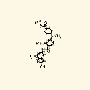 COc1nc(N(C)C2CCN(C(=O)OC(C)(C)C)CC2)ncc1C(=O)Nc1cn2cc(C)nc2c(C)n1